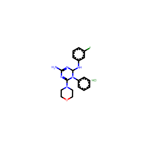 Cl.NC1=NC(Nc2cccc(F)c2)N(c2ccccc2)C(N2CCOCC2)=N1